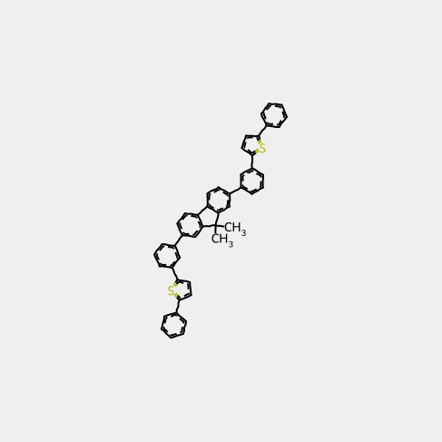 CC1(C)c2cc(-c3cccc(-c4ccc(-c5ccccc5)s4)c3)ccc2-c2ccc(-c3cccc(-c4ccc(-c5ccccc5)s4)c3)cc21